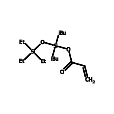 C=CC(=O)O[Si](O[Si](CC)(CC)CC)(C(C)CC)C(C)CC